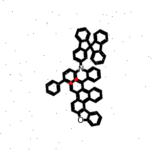 c1ccc(-c2ccc(N(c3ccc4c(c3)C3(c5ccccc5-c5ccccc53)c3ccccc3-4)c3ccccc3-c3cccc4c5ccc6oc7ccccc7c6c5c5ccccc5c34)cc2)cc1